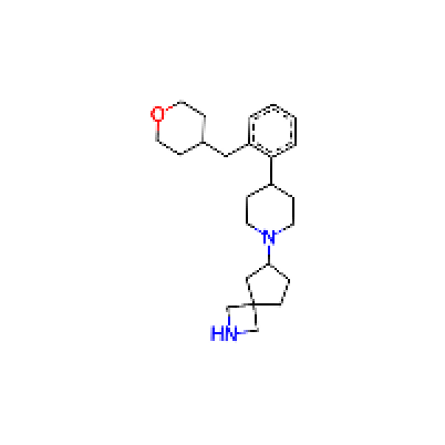 c1ccc(C2CCN(C3CCC4(CNC4)C3)CC2)c(CC2CCOCC2)c1